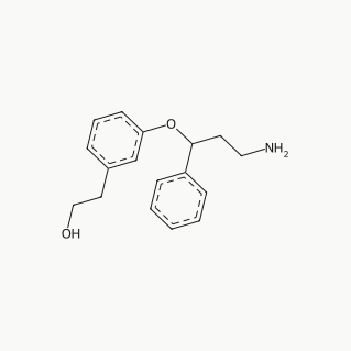 NCCC(Oc1cccc(CCO)c1)c1ccccc1